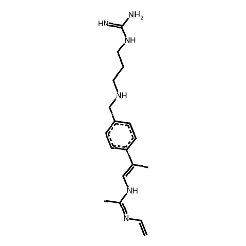 C=C/N=C(/C)N/C=C(\C)c1ccc(CNCCCNC(=N)N)cc1